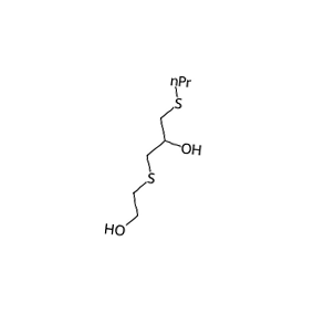 CCCSCC(O)CSCCO